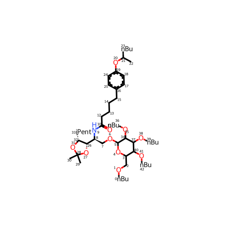 CCCCOCC1OC(OC[C@H](NC(=O)CCCCc2ccc(OC(C)CCCC)cc2)[C@@H]2OC(C)(C)O[C@@H]2C(C)CCC)C(OCCCC)C(OCCCC)C1OCCCC